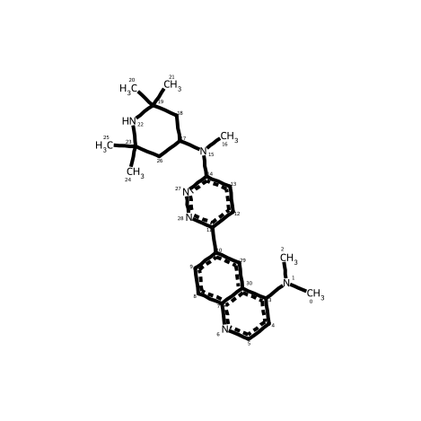 CN(C)c1ccnc2ccc(-c3ccc(N(C)C4CC(C)(C)NC(C)(C)C4)nn3)cc12